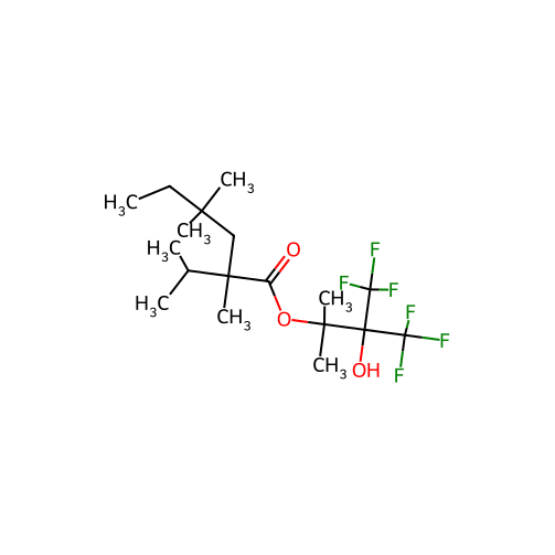 CCC(C)(C)CC(C)(C(=O)OC(C)(C)C(O)(C(F)(F)F)C(F)(F)F)C(C)C